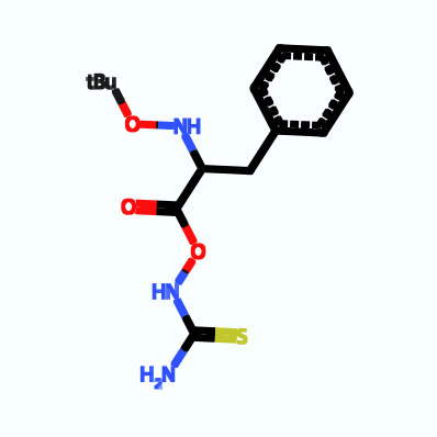 CC(C)(C)ONC(Cc1ccccc1)C(=O)ONC(N)=S